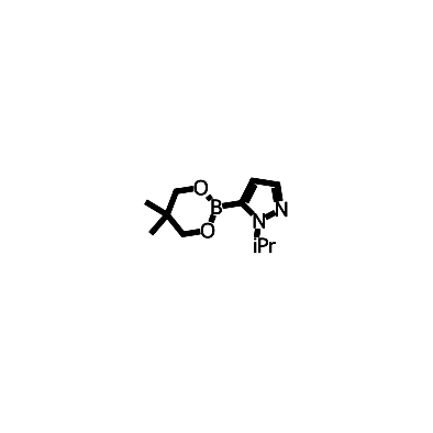 CC(C)n1nccc1B1OCC(C)(C)CO1